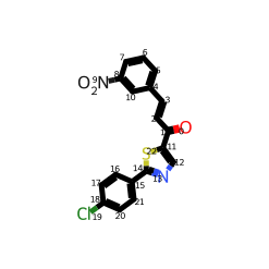 O=C(C=Cc1cccc([N+](=O)[O-])c1)c1[c]nc(-c2ccc(Cl)cc2)s1